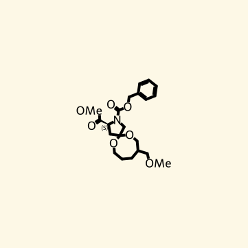 COCC1CCCOC2(C[C@@H](C(=O)OC)N(C(=O)OCc3ccccc3)C2)OC1